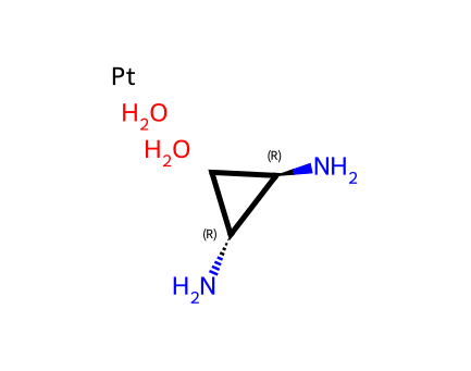 N[C@@H]1C[C@H]1N.O.O.[Pt]